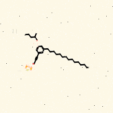 CCCCCCCCCCCCCCCc1cc(C#CCOS(C)(=O)=O)cc(OCC(CC)CCCC)c1